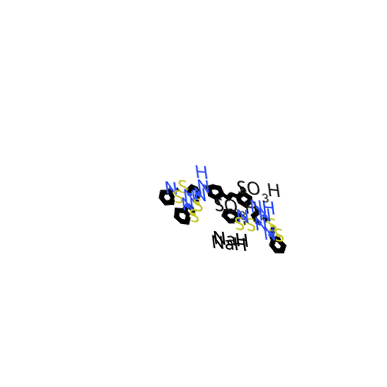 O=S(=O)(O)c1cc(Nc2cc(Sc3nc4ccccc4s3)nc(Sc3nc4ccccc4s3)n2)ccc1C=Cc1ccc(Nc2cc(Sc3nc4ccccc4s3)nc(Sc3nc4ccccc4s3)n2)cc1S(=O)(=O)O.[NaH].[NaH]